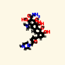 CN1CCN(Cc2ccc(-c3ccc(O)c4c3C[C@@H]3C[C@H]5C(N(C)C)C(O)=C(C(N)=O)C(=O)[C@@]5(O)C(O)=C3C4=O)o2)CC1